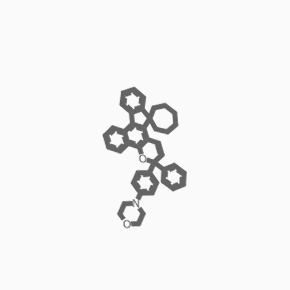 C1=CC(c2ccccc2)(c2ccc(N3CCOCC3)cc2)Oc2c1c1c(c3ccccc23)-c2ccccc2C12CCCCCC2